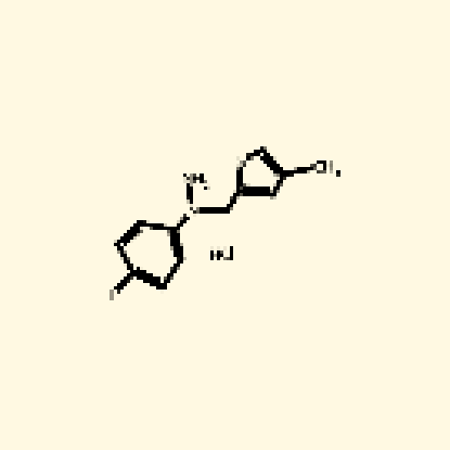 Cc1csc(CN(N)c2ccc(F)cc2)c1.Cl